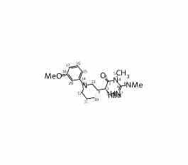 CCCC[C@H](C(=O)N(C)C(=N)NC)[C@@H]1CCCN(c2cccc(OC)c2)C1